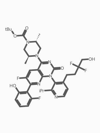 CC(C)c1nccc(CCC(F)(F)CO)c1-n1c(=O)nc(N2C[C@@H](C)N(C(=O)OC(C)(C)C)C[C@@H]2C)c2cc(F)c(-c3c(O)cccc3F)nc21